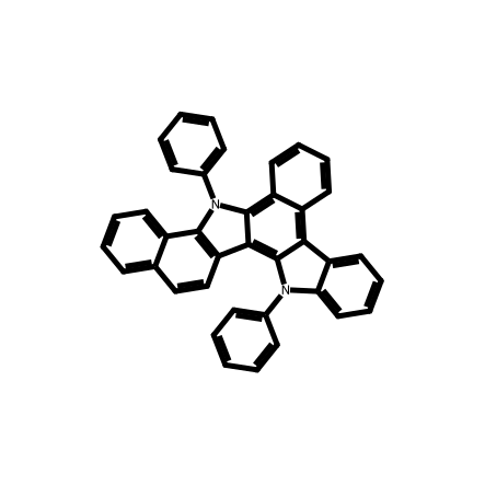 c1ccc(-n2c3ccccc3c3c4ccccc4c4c(c5ccc6ccccc6c5n4-c4ccccc4)c32)cc1